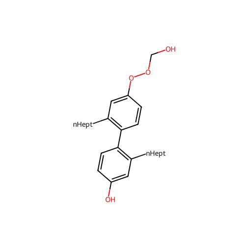 CCCCCCCc1cc(O)ccc1-c1ccc(OOCO)cc1CCCCCCC